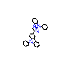 c1ccc(-n2c3ccccc3c3cc(-c4cn5c6ccccc6n(-c6ccccc6)c5n4)ccc32)cc1